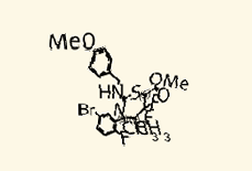 COC(=O)[C@@H]1SC(NCc2ccc(OC)cc2)=N[C@](C)(c2cc(Br)ccc2F)[C@H](C)C1(F)F